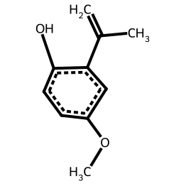 C=C(C)c1cc(OC)ccc1O